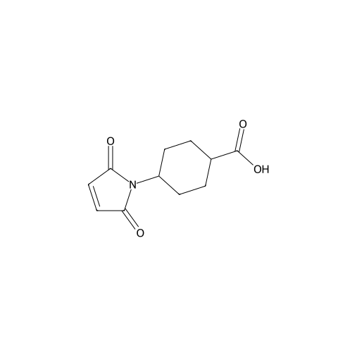 O=C(O)C1CCC(N2C(=O)C=CC2=O)CC1